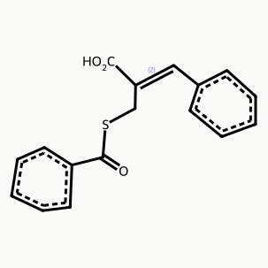 O=C(O)/C(=C/c1ccccc1)CSC(=O)c1ccccc1